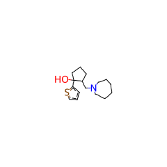 OC1(c2cccs2)CCCC1CN1CCCCCC1